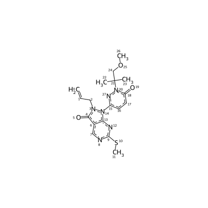 C=CCn1c(=O)c2cnc(SC)nc2n1-c1ccc(=O)n(C(C)(C)COC)n1